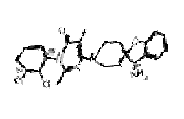 Cc1c(N2CCC3(CC2)Oc2ccccc2[C@H]3N)nc(C)n([C@@H]2C=CC[C@H](Cl)C2Cl)c1=O